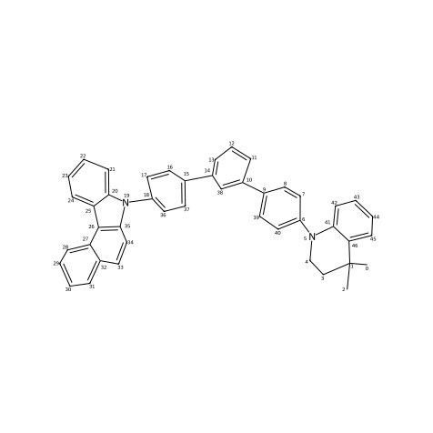 CC1(C)CCN(c2ccc(-c3cccc(-c4ccc(-n5c6ccccc6c6c7ccccc7ccc65)cc4)c3)cc2)c2ccccc21